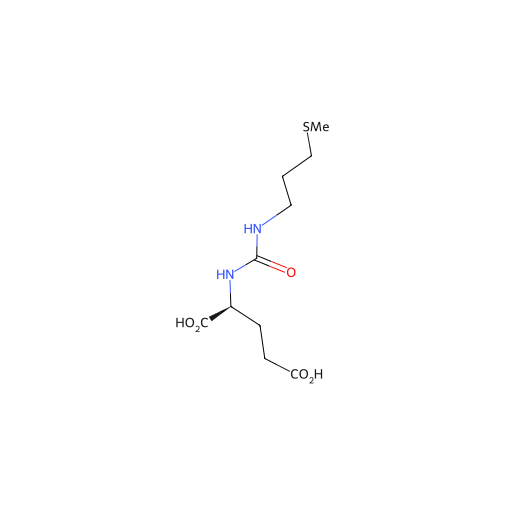 [11CH3]SCCCNC(=O)N[C@@H](CCC(=O)O)C(=O)O